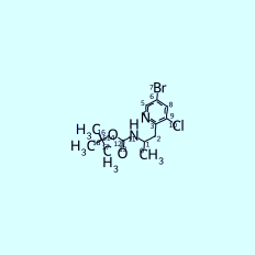 CC(Cc1ncc(Br)cc1Cl)NC(=O)OC(C)(C)C